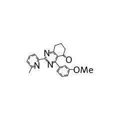 COc1cccc(-c2nc(-c3cccc(C)n3)nc3c2C(=O)CCC3)c1